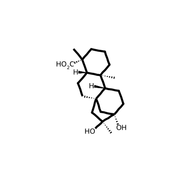 C[C@@]12CCC[C@@](C)(C(=O)O)[C@H]1CC[C@@]13C[C@@](O)(CC[C@H]12)[C@@](C)(O)C3